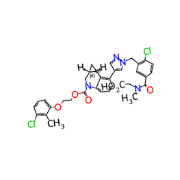 Cc1c(Cl)cccc1OCCOC(=O)N1C[C@@H]2C[C@@H]2c2c(-c3cnn(Cc4cc(C(=O)N(C)CC(=O)O)ccc4Cl)c3)cccc21